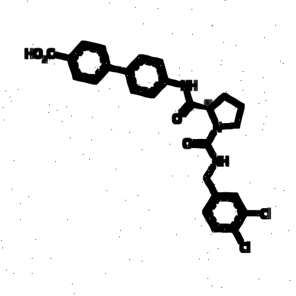 O=C(O)c1ccc(-c2ccc(NC(=O)[C@H]3CCCN3C(=O)NCc3ccc(Cl)c(Cl)c3)cc2)cc1